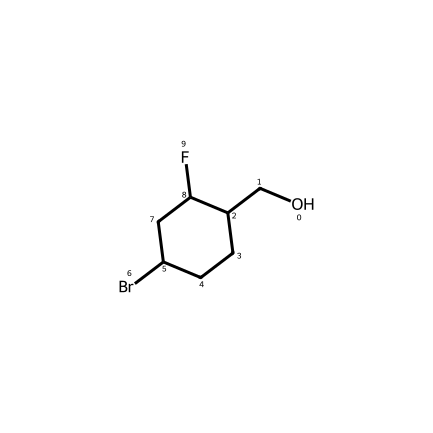 OCC1CCC(Br)CC1F